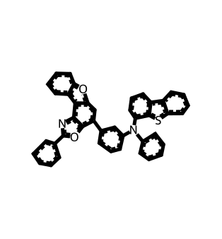 c1ccc(-c2nc3c(o2)c(-c2cccc(N(c4ccccc4)c4cccc5c4sc4ccccc45)c2)cc2oc4ccccc4c23)cc1